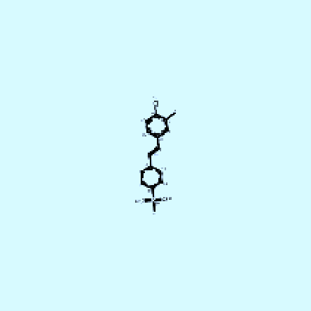 Cc1cc(/C=C/c2ccc(S(C)(=O)=O)cc2)ccc1Cl